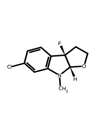 CN1c2cc(Cl)ccc2[C@]2(F)CCO[C@H]12